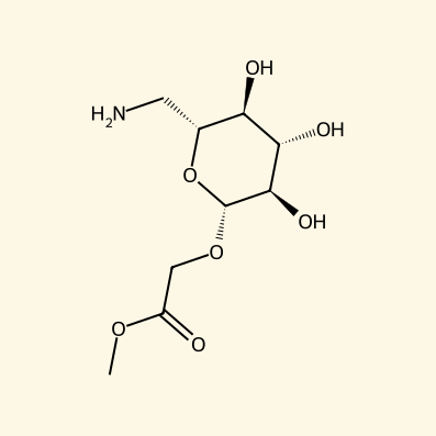 COC(=O)CO[C@@H]1O[C@H](CN)[C@@H](O)[C@H](O)[C@H]1O